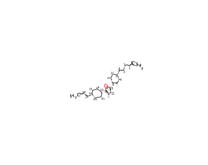 CCCCC[C@H]1CC[C@H](c2ccc([C@H]3CC[C@H](CCC)CC3)o2)CC1